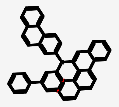 c1ccc(-c2cccc(N(c3ccc4c(ccc5ccccc54)c3)c3cc4ccccc4c4ccc5ccccc5c34)c2)cc1